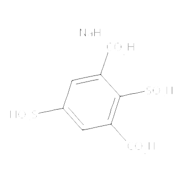 O=C(O)c1cc(S(=O)(=O)O)cc(C(=O)O)c1S(=O)(=O)O.[NaH]